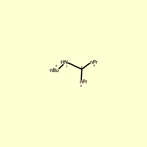 [CH2]CC[CH]NC(CCC)CCC